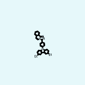 CCc1ccc2c(c1)c1cc(CC)ccc1n2-c1ccc(-c2nnc3c4ccccc4ccn23)cc1